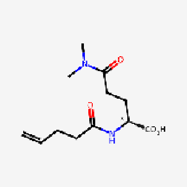 C=CCCC(=O)N[C@@H](CCC(=O)N(C)C)C(=O)O